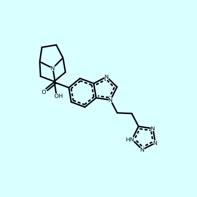 O=C(c1ccc2c(c1)ncn2CCc1nnn[nH]1)N1C2CCC1CC(O)C2